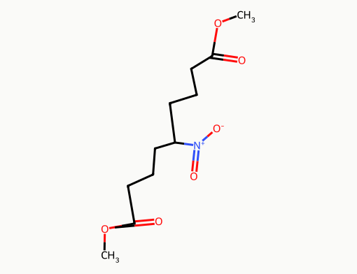 COC(=O)CCCC(CCCC(=O)OC)[N+](=O)[O-]